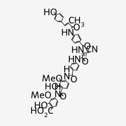 COc1c(NC(=O)c2ccc(NC(=O)c3ccc(NC(=O)[C@H](CC#N)NC(=O)c4ccc(NC(=O)C(C)=Cc5ccc(O)cc5)cc4)cc3)c(OC)c2O)ccc(C(=O)O)c1O